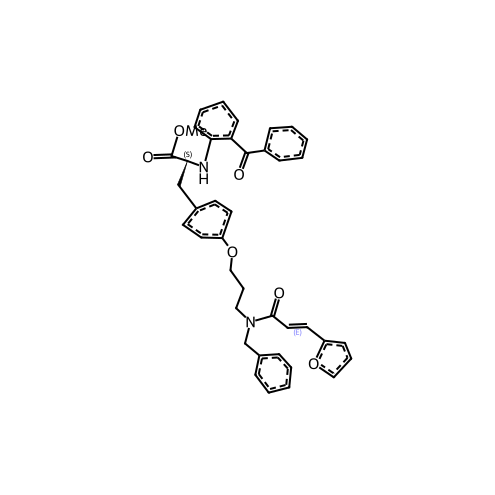 COC(=O)[C@H](Cc1ccc(OCCCN(Cc2ccccc2)C(=O)/C=C/c2ccco2)cc1)Nc1ccccc1C(=O)c1ccccc1